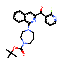 CC(C)(C)OC(=O)N1CCCN(c2nc(C(=O)c3cccnc3F)cc3ccccc23)CC1